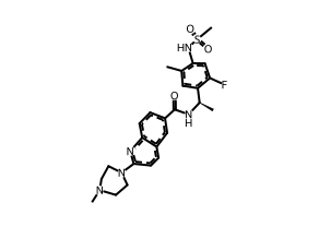 Cc1cc([C@@H](C)NC(=O)c2ccc3nc(N4CCN(C)CC4)ccc3c2)c(F)cc1NS(C)(=O)=O